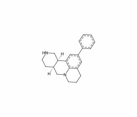 c1ccc(-c2cc3c4c(c2)[C@@H]2CNCC[C@@H]2CN4CCC3)cc1